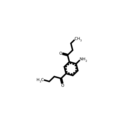 CCCC(=O)c1[c]c(C(=O)CCC)c(N)cc1